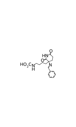 O=C(O)NCCCCC1(N=Cc2ccccc2)CCC(=O)NC1=O